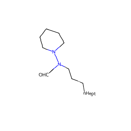 CCCCCCCCCCN(C=O)N1CCCCC1